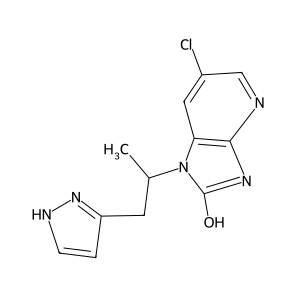 CC(Cc1cc[nH]n1)n1c(O)nc2ncc(Cl)cc21